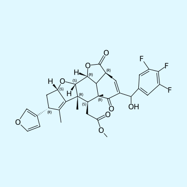 COC(=O)C[C@H]1[C@]2(C)C3=C(C)[C@H](c4ccoc4)C[C@@H]3O[C@@H]2[C@@H]2OC(=O)[C@]3(C)C=C(C(O)c4cc(F)c(F)c(F)c4)C(=O)[C@@]1(C)C23